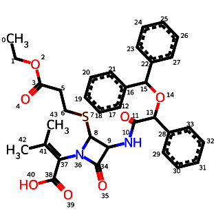 CCOC(=O)CCSC1C(NC(=O)C(OC(c2ccccc2)c2ccccc2)c2ccccc2)C(=O)N1C(C(=O)O)=C(C)C